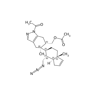 CC(=O)OC[C@H]1Cc2c(cnn2C(C)=O)C[C@]1(C)[C@H]1CC[C@]2(C)C=CC[C@H]2[C@@H]1CN=[N+]=[N-]